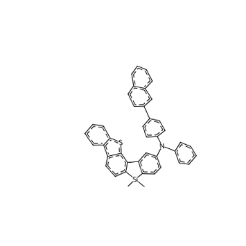 C[Si]1(C)c2ccc(N(c3ccccc3)c3ccc(-c4ccc5ccccc5c4)cc3)cc2-c2c1ccc1c2sc2ccccc21